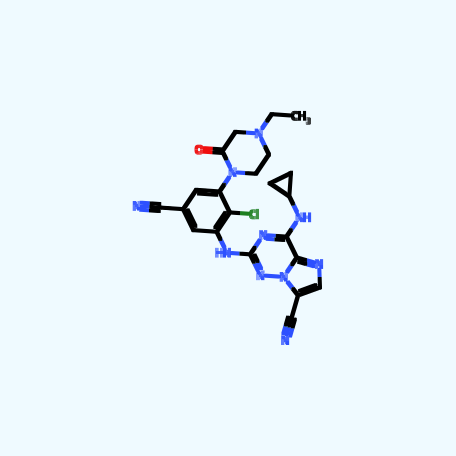 CCN1CCN(c2cc(C#N)cc(Nc3nc(NC4CC4)c4ncc(C#N)n4n3)c2Cl)C(=O)C1